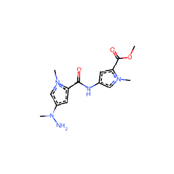 COC(=O)c1cc(NC(=O)c2cc(N(C)N)cn2C)cn1C